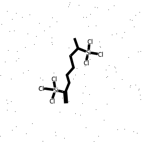 C=C(CCCCC(C)[Si](Cl)(Cl)Cl)[Si](Cl)(Cl)Cl